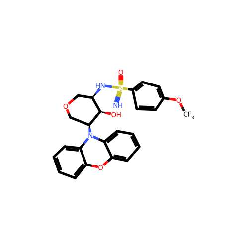 N=S(=O)(N[C@@H]1COC[C@H](N2c3ccccc3Oc3ccccc32)[C@@H]1O)c1ccc(OC(F)(F)F)cc1